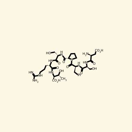 CC(C)C[C@H](NC(=O)[C@H](CO)NC(=O)[C@@H](N)CC(=O)O)C(=O)N1CCC[C@H]1C(=O)N[C@@H](CO)C(=O)N[C@@H](CCCNC(=N)N)C(=O)N[C@H](C(=O)O)[C@@H](C)O